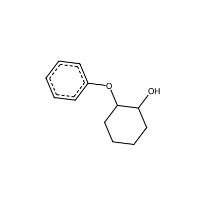 OC1CCCCC1Oc1ccccc1